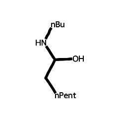 CCCCCCC(O)NCCCC